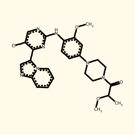 COc1cc(N2CCN(C(=O)C(C)OC)CC2)ccc1Nc1ncc(Cl)c(-c2cnc3ccccn23)n1